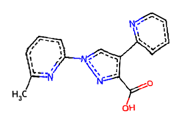 Cc1cccc(-n2cc(-c3ccccn3)c(C(=O)O)n2)n1